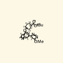 COc1cc(-c2cn3nccc3c(O[C@@H]3CCCN(C(=O)OC(C)(C)C)CC3)n2)ncn1